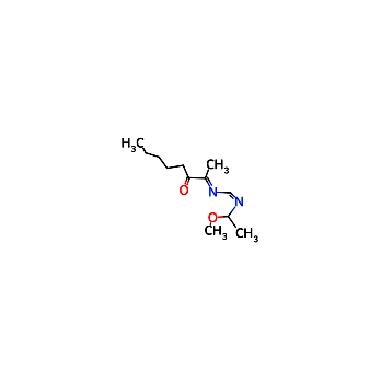 CCCCCC(=O)/C(C)=N/C=N\C(C)OC